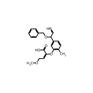 COCC=C(Oc1cc(C(C=N)OCc2ccccc2)ccc1C)C(=O)O